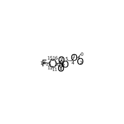 CC(=O)OCCOS(=O)(=O)c1ccc(F)cc1